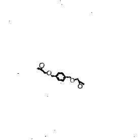 c1cc(COCC2CO2)ccc1COCC1CO1